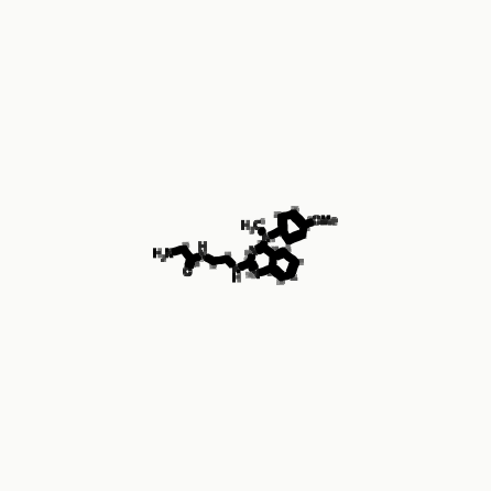 COc1ccc(N(C)c2nc(NCCNC(=O)CN)nc3ccccc23)cc1